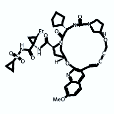 CC[C@@H]1C[C@]1(NC(=O)[C@@H]1C[C@@H]2CN1C(=O)[C@H](C1CCCC1)NC(=O)N1CC[C@@H](C1)OCCC/C=C/c1cc3ccc(OC)cc3nc1O2)C(=O)NS(=O)(=O)C1CC1